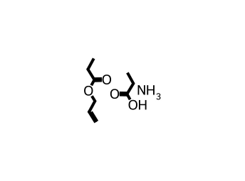 C=CCOC(=O)CC.CCC(=O)O.N